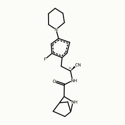 N#C[C@H](Cc1ccc(N2CCCCC2)cc1F)NC(=O)C1NC2CCC1C2